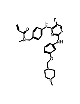 C=CC(=O)N(C)Cc1ccc(Nc2nc(Nc3cccc(OCC4CCN(C)CC4)c3)ncc2F)cc1